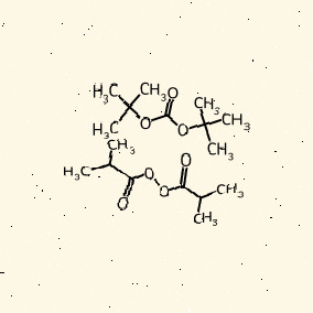 CC(C)(C)OC(=O)OC(C)(C)C.CC(C)C(=O)OOC(=O)C(C)C